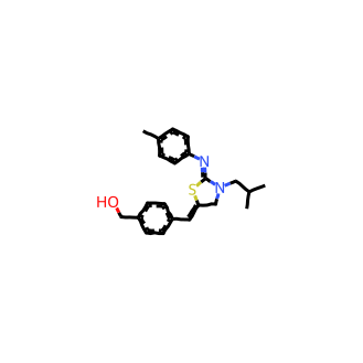 Cc1ccc(/N=C2\S/C(=C\c3ccc(CO)cc3)CN2CC(C)C)cc1